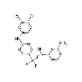 Nc1cccc(CNc2nc(Nc3ccc(Cl)c(Cl)c3)ncc2C(F)(F)F)c1